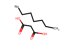 CCCCC[CH2][Na].O=C(O)CC(=O)O